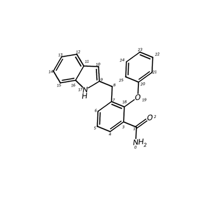 NC(=O)c1cccc(Cc2cc3ccccc3[nH]2)c1Oc1ccccc1